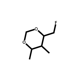 CC1OCOC(CF)C1C